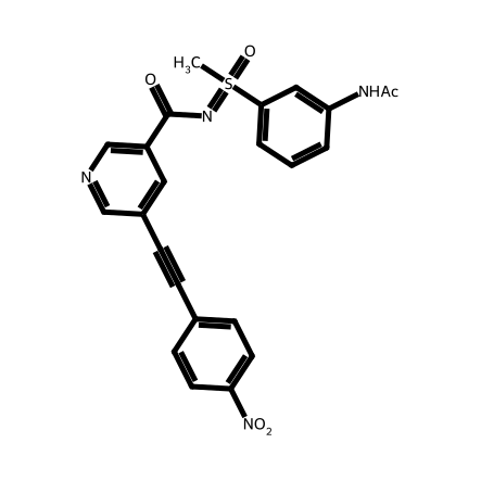 CC(=O)Nc1cccc(S(C)(=O)=NC(=O)c2cncc(C#Cc3ccc([N+](=O)[O-])cc3)c2)c1